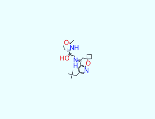 CC[C@H](NC(C)=O)[C@H](O)CN[C@H]1CC2(CCC2)Oc2ncc(CC(C)(C)C)cc21